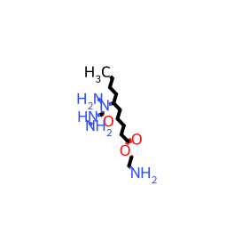 CCCCC(CCCCC(=O)OCCN)N(N)C(=O)NN